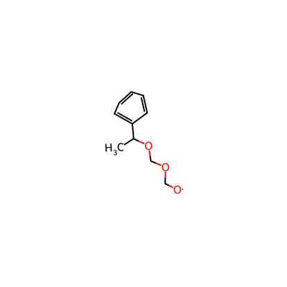 CC(OCOC[O])c1ccccc1